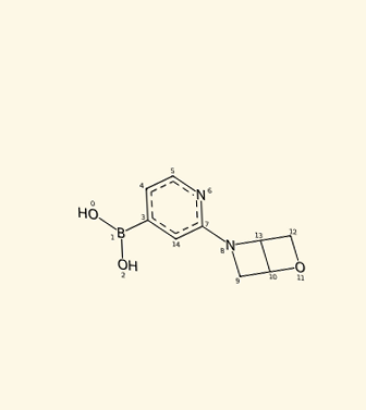 OB(O)c1ccnc(N2CC3OCC32)c1